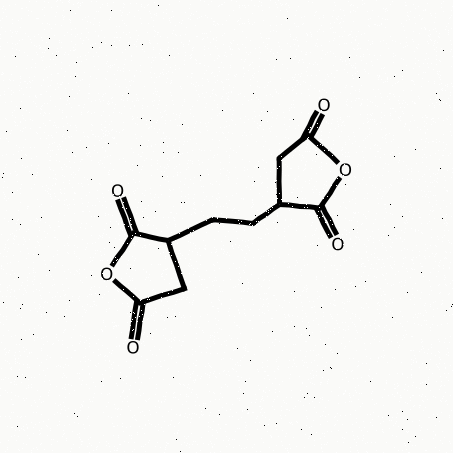 O=C1CC(CCC2CC(=O)OC2=O)C(=O)O1